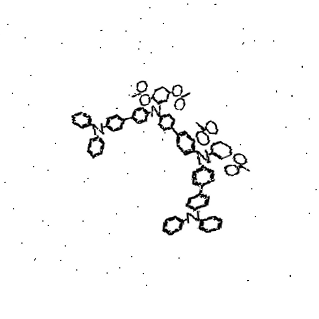 CC(=O)OC1C=C(N(c2ccc(-c3ccc(N(C4=CC(OC(C)=O)CCC4OC(C)=O)c4ccc(-c5ccc(N(c6ccccc6)c6ccccc6)cc5)cc4)cc3)cc2)c2ccc(-c3ccc(N(c4ccccc4)c4ccccc4)cc3)cc2)C(OC(C)=O)CC1